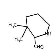 CC1(C)CCCNC1C=O